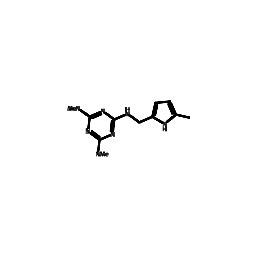 CNc1nc(NC)nc(NCc2ccc(C)[nH]2)n1